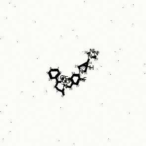 CC1CCC(c2ccccc2)S(=O)(=O)N1Cc1cc(F)c(N2CC3C(n4cnnc4)[C@@H]3C2)cc1F